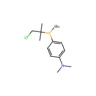 CN(C)c1ccc(P(C(C)(C)C)C(C)(C)CCl)cc1